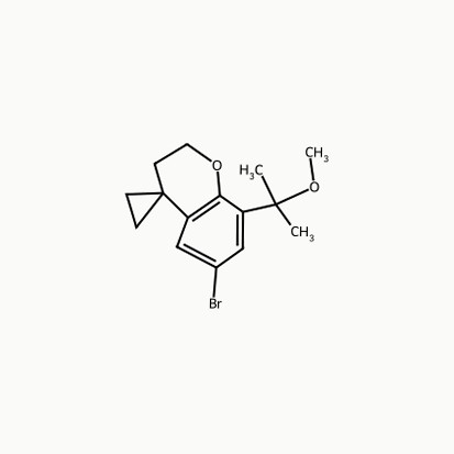 COC(C)(C)c1cc(Br)cc2c1OCCC21CC1